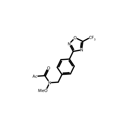 CON(Cc1ccc(-c2noc(C(F)(F)F)n2)cc1)C(=O)C(C)=O